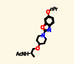 CCCOc1ccc2nc(N3CCC(OC[C@H](C)NC(C)=O)CC3)oc2c1